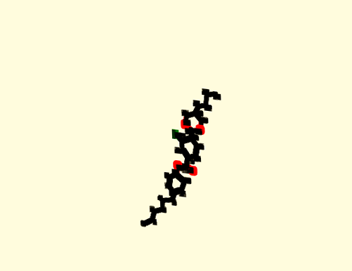 CCCCCCc1ccc(OC(=O)c2ccc(C3OCC(CCCC)CO3)c(F)c2)cc1